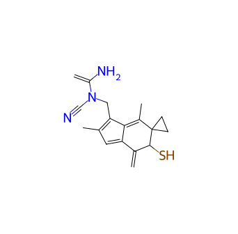 C=C1C2=CC(C)=C(CN(C#N)C(=C)N)C2=C(C)C2(CC2)C1S